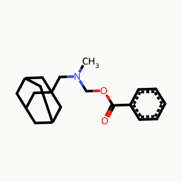 CN(COC(=O)c1ccccc1)CC12CC3CC(CC(C3)C1)C2